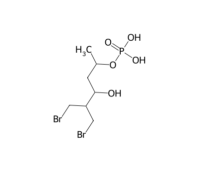 CC(CC(O)C(CBr)CBr)OP(=O)(O)O